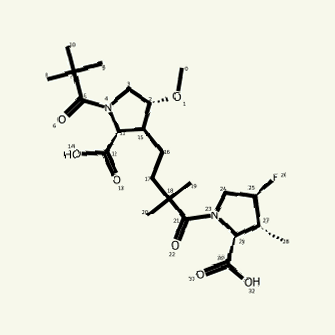 CO[C@H]1CN(C(=O)C(C)(C)C)[C@H](C(=O)O)C1CCC(C)(C)C(=O)N1C[C@@H](F)[C@H](C)[C@H]1C(=O)O